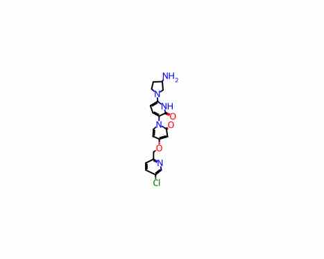 NC1CCN(c2ccc(-n3ccc(OCc4ccc(Cl)cn4)cc3=O)c(=O)[nH]2)C1